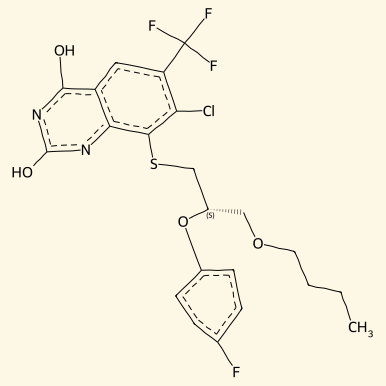 CCCCOC[C@@H](CSc1c(Cl)c(C(F)(F)F)cc2c(O)nc(O)nc12)Oc1ccc(F)cc1